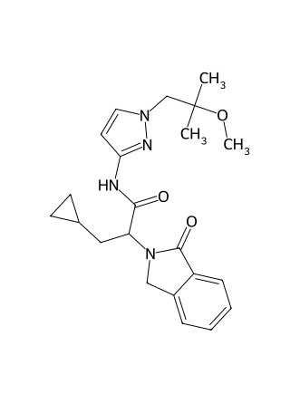 COC(C)(C)Cn1ccc(NC(=O)C(CC2CC2)N2Cc3ccccc3C2=O)n1